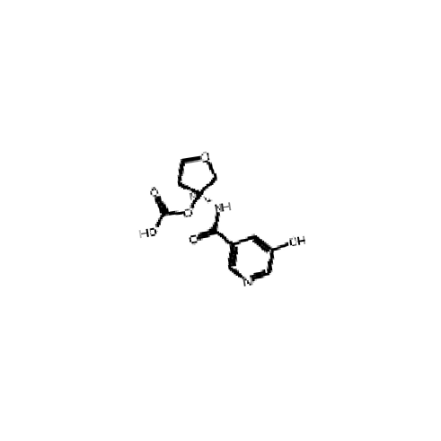 O=C(O)O[C@@]1(NC(=O)c2cncc(O)c2)CCOC1